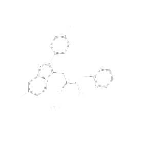 CCN(Cc1ccccn1)C(=O)Cc1c(-c2ccc(C)cc2)nc2cc(C)ccn12.Cl